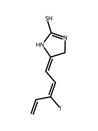 C=C/C(I)=C\C=C1/CN=C(S)N1